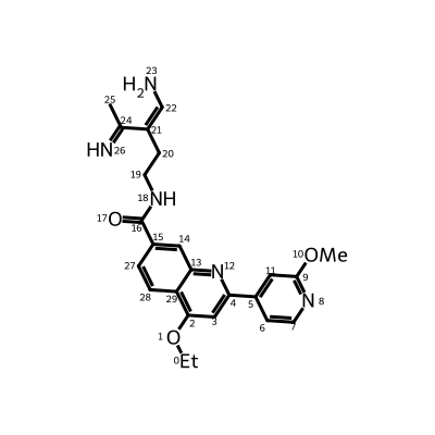 CCOc1cc(-c2ccnc(OC)c2)nc2cc(C(=O)NCC/C(=C/N)C(C)=N)ccc12